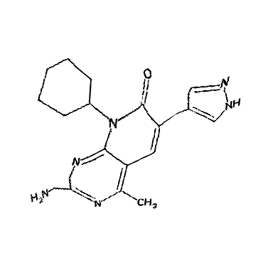 Cc1nc(N)nc2c1cc(-c1cn[nH]c1)c(=O)n2C1CCCCC1